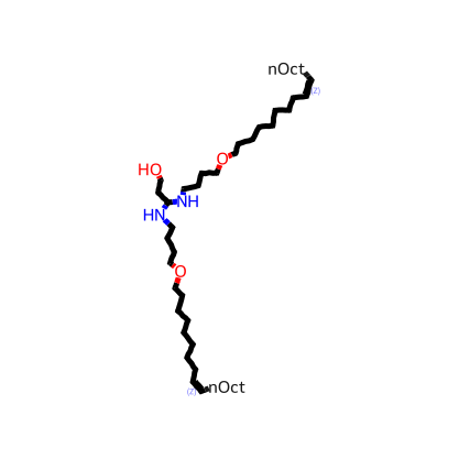 CCCCCCCC/C=C\CCCCCCCCOCCCCNC(CCO)NCCCCOCCCCCCCC/C=C\CCCCCCCC